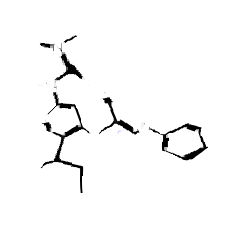 CCC(C)c1cnc(NC(=O)N(C)C)cc1O/C(C#N)=C/Nc1ccccc1